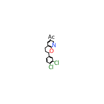 CC(=O)c1cnc2c(c1)CCC(c1ccc(Cl)c(Cl)c1)O2